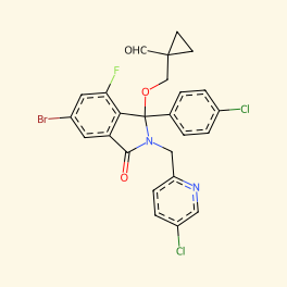 O=CC1(COC2(c3ccc(Cl)cc3)c3c(F)cc(Br)cc3C(=O)N2Cc2ccc(Cl)cn2)CC1